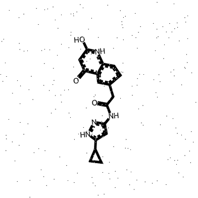 O=C(Cc1ccc2[nH]c(O)cc(=O)c2c1)Nc1cc(C2CC2)[nH]n1